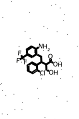 Nc1ccc(C(F)(F)F)cc1CC(c1ccccc1Cl)C(CO)C(=O)O